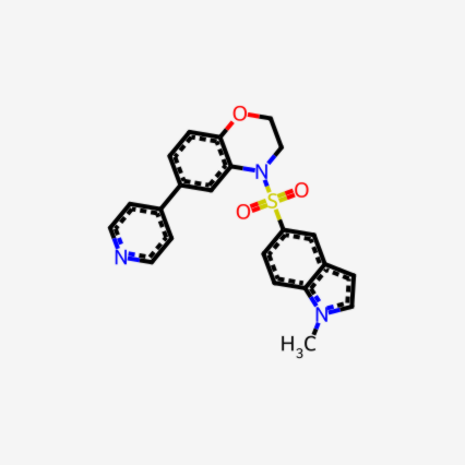 Cn1ccc2cc(S(=O)(=O)N3CCOc4ccc(-c5ccncc5)cc43)ccc21